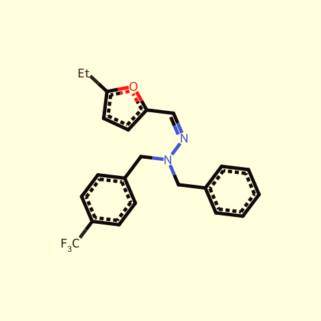 CCc1ccc(/C=N\N(Cc2ccccc2)Cc2ccc(C(F)(F)F)cc2)o1